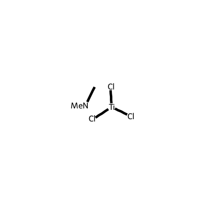 CNC.[Cl][Ti]([Cl])[Cl]